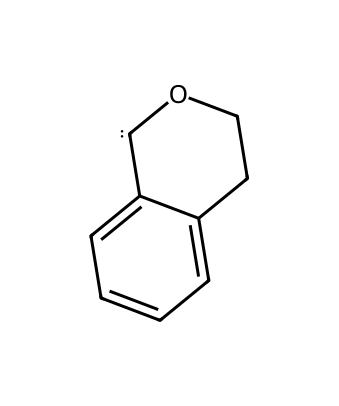 [C]1OCCc2ccccc21